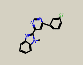 Cn1c(-c2cc(-c3cccc(Cl)c3)ncn2)nc2ccccc21